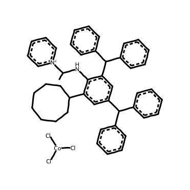 CC(Nc1c(C2CCCCCCC2)cc(C(c2ccccc2)c2ccccc2)cc1C(c1ccccc1)c1ccccc1)[n+]1ccccc1.[Cl][Co]([Cl])[Cl]